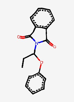 CCC(Oc1ccccc1)N1C(=O)c2ccccc2C1=O